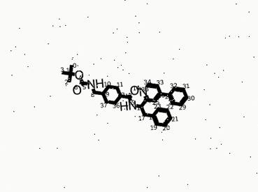 CC(C)(C)OC(=O)NCC1CCC(C(=O)NC(Cc2ccccc2)c2cc(-c3ccccc3)ccn2)CC1